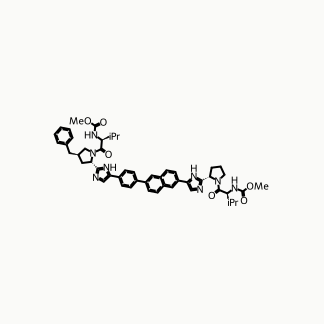 COC(=O)N[C@H](C(=O)N1CCC[C@H]1c1ncc(-c2ccc3cc(-c4ccc(-c5cnc([C@@H]6C[C@@H](Cc7ccccc7)CN6C(=O)[C@@H](NC(=O)OC)C(C)C)[nH]5)cc4)ccc3c2)[nH]1)C(C)C